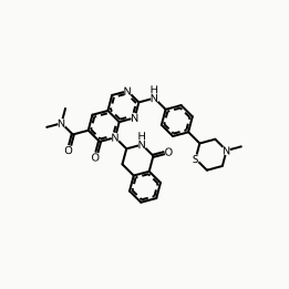 CN1CCSC(c2ccc(Nc3ncc4cc(C(=O)N(C)C)c(=O)n(C5Cc6ccccc6C(=O)N5)c4n3)cc2)C1